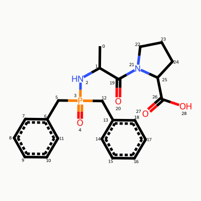 CC(NP(=O)(Cc1ccccc1)Cc1ccccc1)C(=O)N1CCCC1C(=O)O